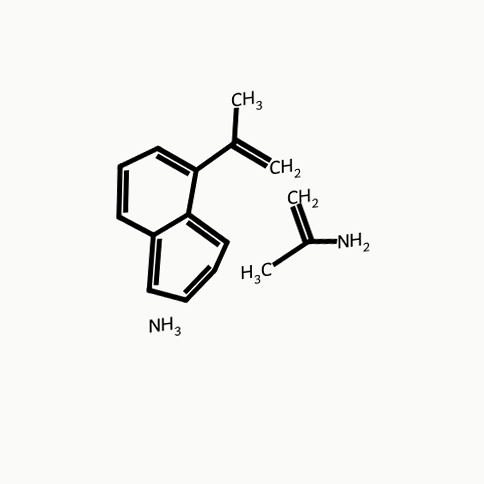 C=C(C)N.C=C(C)c1cccc2ccccc12.N